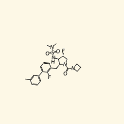 Cc1cccc(-c2cccc(C[C@H]3[C@@H](NS(=O)(=O)N(C)C)[C@@H](F)CN3C(=O)N3CCC3)c2F)c1